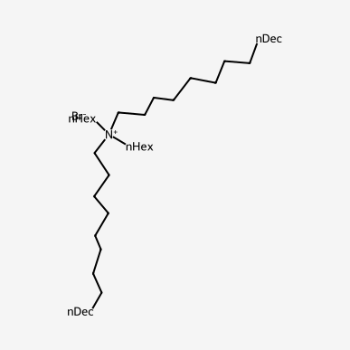 CCCCCCCCCCCCCCCCCC[N+](CCCCCC)(CCCCCC)CCCCCCCCCCCCCCCCCC.[Br-]